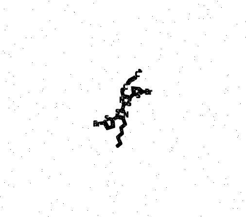 C=C=C=C=C=Cc1nc(-c2nc(CCCCCC)c(-c3ccc(Br)s3)s2)sc1-c1ccc(Br)s1